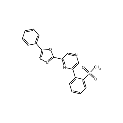 CS(=O)(=O)c1ccccc1-c1cncc(-c2nnc(-c3ccccc3)o2)n1